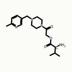 Cc1ccc(CN2CCN(C(=O)COC(=O)[C@@H](N)C(C)C)CC2)cn1